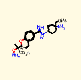 COC[C@]1(N)CC[C@@H](NC(=N)c2ccc3c(c2)CC[C@H]([C@](C)(ON)C(=O)O)O3)CC1